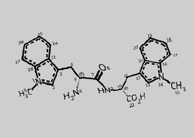 Cn1cc(C[C@@H](N)C(=O)N[C@H](Cc2cn(C)c3ccccc23)C(=O)O)c2ccccc21